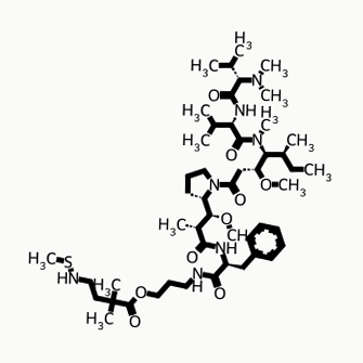 CC[C@H](C)[C@@H]([C@@H](CC(=O)N1CCC[C@H]1[C@H](OC)[C@@H](C)C(=O)N[C@@H](Cc1ccccc1)C(=O)NCCCOC(=O)C(C)(C)CCNSC)OC)N(C)C(=O)[C@@H](NC(=O)[C@H](C(C)C)N(C)C)C(C)C